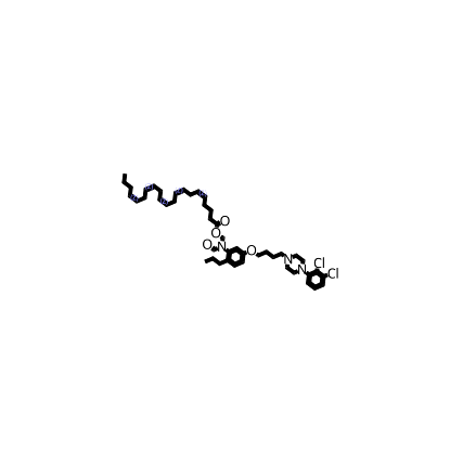 CCC/C=C\C/C=C\C/C=C\C/C=C\C/C=C\CCCC(=O)OCN(C=O)c1cc(OCCCCN2CCN(c3cccc(Cl)c3Cl)CC2)ccc1CCC